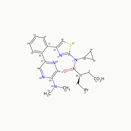 CC(C)C[C@H](CC(=O)O)C(=O)N(c1nc(-c2ccccc2-c2cnc(N(C)C)cn2)cs1)C1CC1